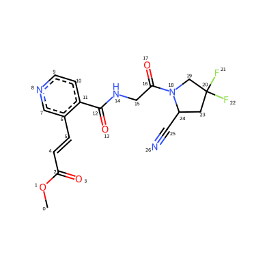 COC(=O)C=Cc1cnccc1C(=O)NCC(=O)N1CC(F)(F)CC1C#N